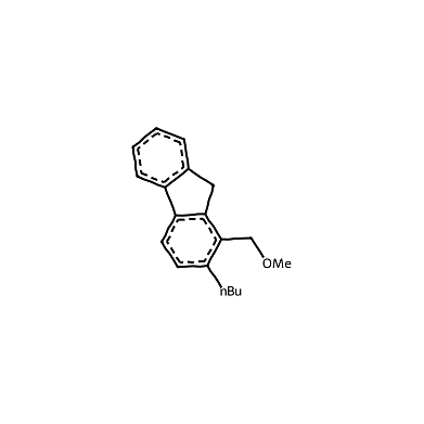 CCCCc1ccc2c(c1COC)Cc1ccccc1-2